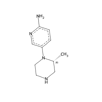 C[C@@H]1CNCCN1c1ccc(N)nc1